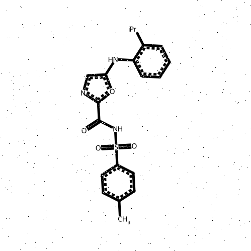 Cc1ccc(S(=O)(=O)NC(=O)c2ncc(Nc3ccccc3C(C)C)o2)cc1